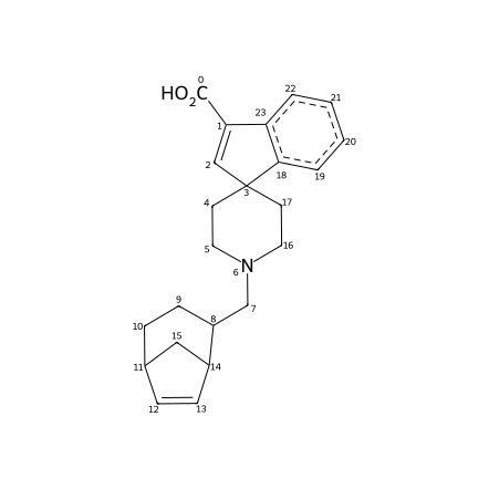 O=C(O)C1=CC2(CCN(CC3CCC4C=CC3C4)CC2)c2ccccc21